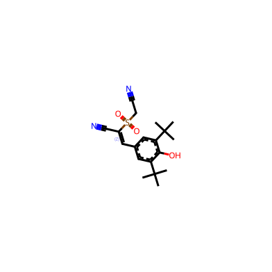 CC(C)(C)c1cc(/C=C(/C#N)S(=O)(=O)CC#N)cc(C(C)(C)C)c1O